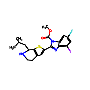 COC(=O)n1c(-c2cc3c(s2)C(CC(C)C)NCC3)nc2c(I)cc(F)cc21